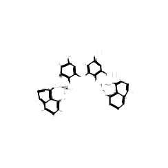 Cc1cc(C)c(OP2Oc3cccc4cccc(c34)O2)c(Sc2cc(C)cc(C)c2OP2Oc3cccc4cccc(c34)O2)c1